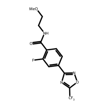 COCCNC(=O)c1ccc(-c2noc(C(F)(F)F)n2)cc1F